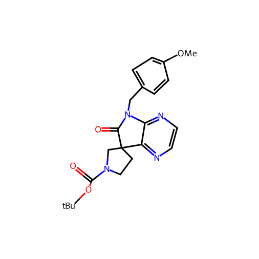 COc1ccc(CN2C(=O)C3(CCN(C(=O)OC(C)(C)C)C3)c3nccnc32)cc1